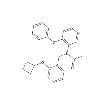 CC(=O)N(Cc1ccccc1OC1CCC1)c1cnccc1Oc1ccccc1